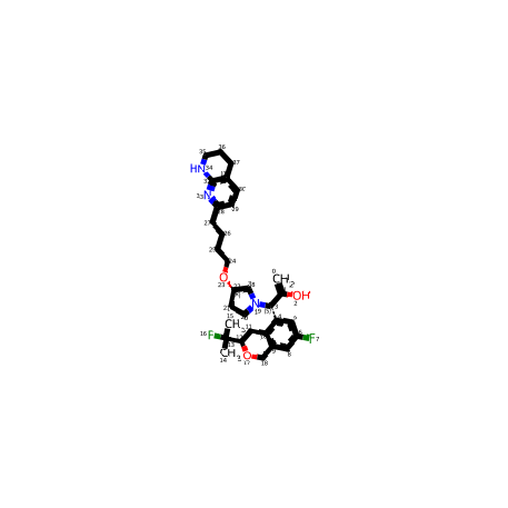 C=C(O)[C@H](c1cc(F)cc2c1CC(C(C)(C)F)OC2)N1CC[C@@H](OCCCCc2ccc3c(n2)NCCC3)C1